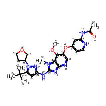 COc1c(Oc2ccnc(NC(C)=O)c2)cnc2nc(Nc3cc(C(C)(C)C)n(C4CCOC4)n3)n(C)c12